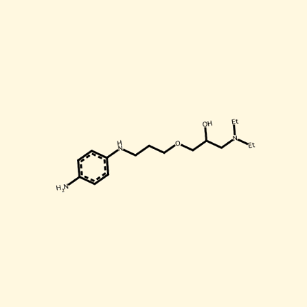 CCN(CC)CC(O)COCCCNc1ccc(N)cc1